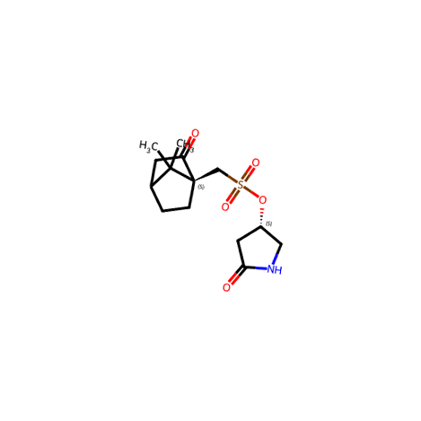 CC1(C)C2CC[C@@]1(CS(=O)(=O)O[C@@H]1CNC(=O)C1)C(=O)C2